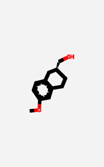 COc1ccc2c(c1)CC[C@@H](CO)C2